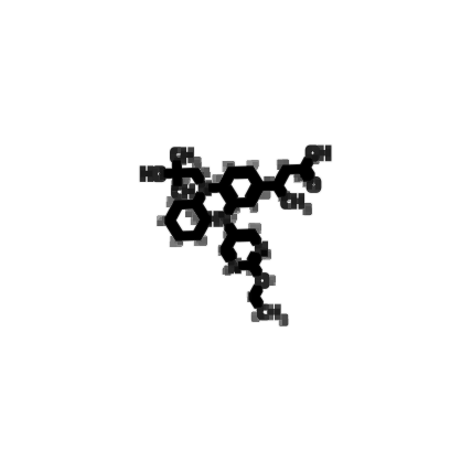 CCOc1ncc(Nc2cc(C(C)CC(=O)O)ccc2N(CC(C)(C)O)C2CCCCC2)cn1